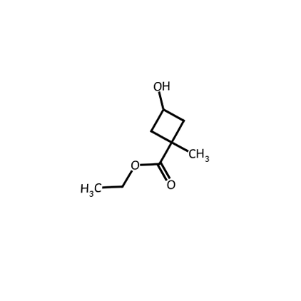 CCOC(=O)C1(C)CC(O)C1